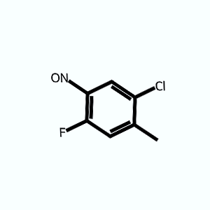 Cc1cc(F)c(N=O)cc1Cl